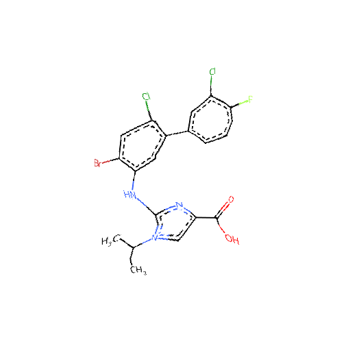 CC(C)n1cc(C(=O)O)nc1Nc1cc(-c2ccc(F)c(Cl)c2)c(Cl)cc1Br